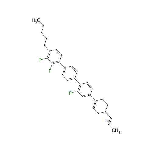 C/C=C/C1CC=C(c2ccc(-c3ccc(-c4ccc(CCCCC)c(F)c4F)cc3)c(F)c2)CC1